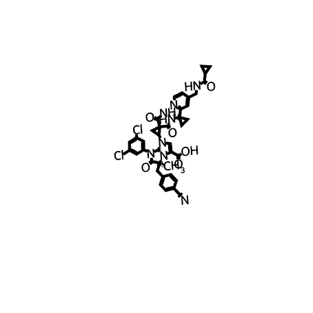 C[C@@]1(Cc2ccc(C#N)cc2)C(=O)N(c2cc(Cl)cc(Cl)c2)C2N(C3CC3(C(N)=O)C(=O)NC3(c4cc(CNC(=O)C5CC5)ccn4)CC3)C=C(C(=O)O)N21